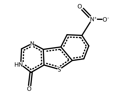 O=c1[nH]cnc2c1sc1ccc([N+](=O)[O-])cc12